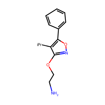 CC(C)c1c(OCCN)noc1-c1ccccc1